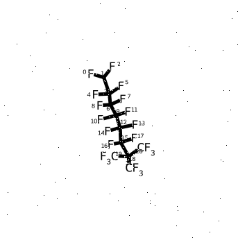 F[C](F)C(F)(F)C(F)(F)C(F)(F)C(F)(F)C(F)(F)C(C(F)(F)F)(C(F)(F)F)C(F)(F)F